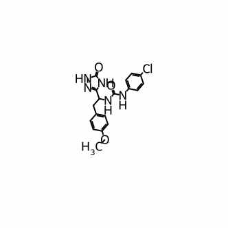 COc1ccc(CC(NC(=O)Nc2ccc(Cl)cc2)c2n[nH]c(=O)[nH]2)cc1